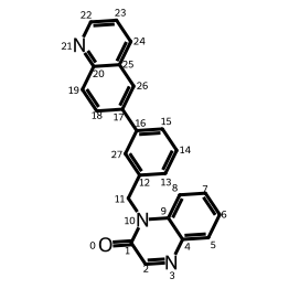 O=c1cnc2ccccc2n1Cc1cccc(-c2ccc3ncccc3c2)c1